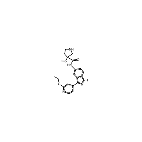 CCOc1cc(-c2n[nH]c3ccc(NC(=O)C4(SC)CCNC4)cc23)ccn1